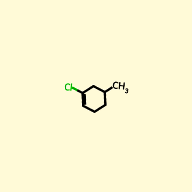 CC1CCC=C(Cl)C1